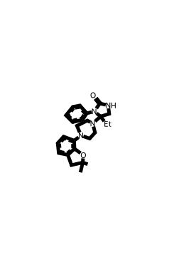 CCC1(N2CCN(c3cccc4c3OC(C)(C)C4)CC2)CNC(=O)N1c1ccccc1